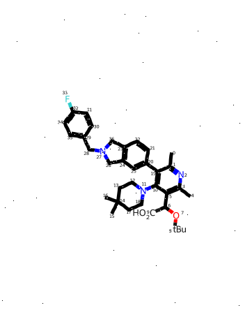 Cc1nc(C)c(C(OC(C)(C)C)C(=O)O)c(N2CCC(C)(C)CC2)c1-c1ccc2c(c1)CN(Cc1ccc(F)cc1)C2